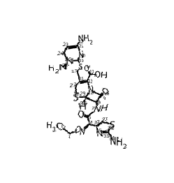 CCO/N=C(\C(=O)NC1C(=O)N2C(C(=O)O)=C(CSC3=NC(N)=CCN3N)CS[C@@H]12)c1csc(N)n1